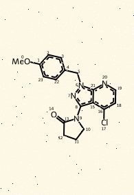 COc1ccc(Cn2nc(N3CCCC3=O)c3c(Cl)ccnc32)cc1